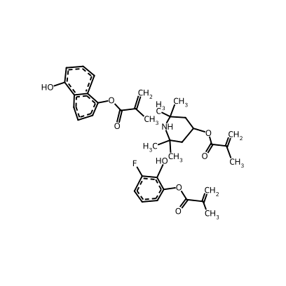 C=C(C)C(=O)OC1CC(C)(C)NC(C)(C)C1.C=C(C)C(=O)Oc1cccc(F)c1O.C=C(C)C(=O)Oc1cccc2c(O)cccc12